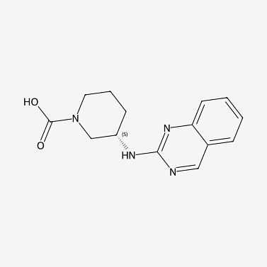 O=C(O)N1CCC[C@H](Nc2ncc3ccccc3n2)C1